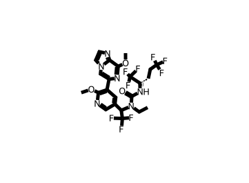 CCN(C(=O)N[C@@H](CCC(F)(F)F)C(F)(F)F)C(c1cnc(OC)c(-c2cn3ccnc3c(OC)n2)c1)C(F)(F)F